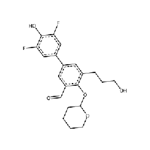 O=Cc1cc(-c2cc(F)c(O)c(F)c2)cc(CCCO)c1OC1CCCCO1